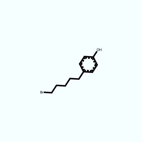 Oc1ccc(CCCCCBr)cc1